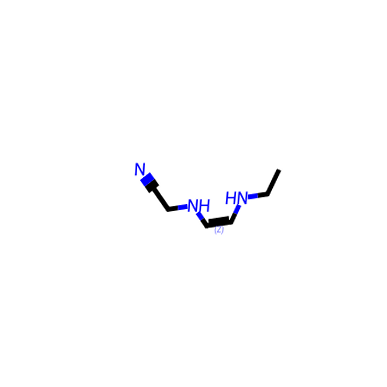 CCN/C=C\NCC#N